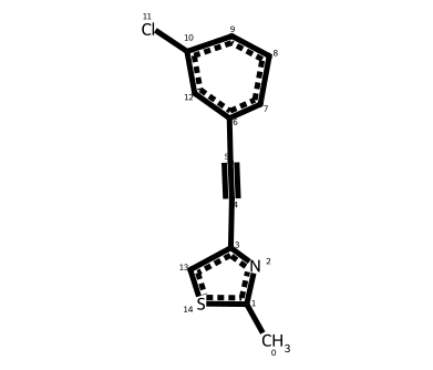 Cc1nc(C#Cc2cccc(Cl)c2)cs1